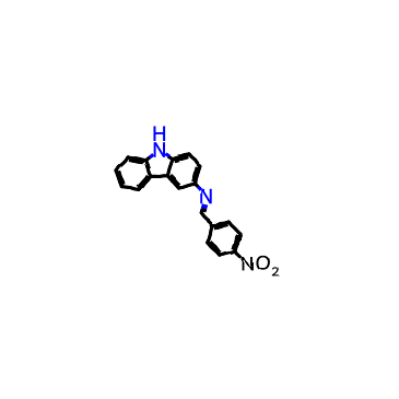 O=[N+]([O-])c1ccc(C=Nc2ccc3[nH]c4ccccc4c3c2)cc1